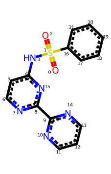 O=S(=O)(Nc1ccnc(-c2ncccn2)n1)c1ccccc1